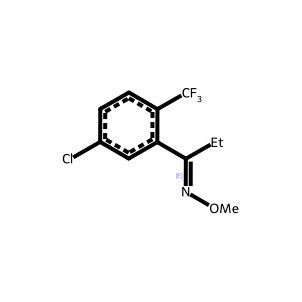 CC/C(=N\OC)c1cc(Cl)ccc1C(F)(F)F